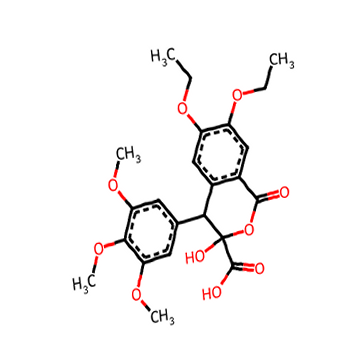 CCOc1cc2c(cc1OCC)C(c1cc(OC)c(OC)c(OC)c1)C(O)(C(=O)O)OC2=O